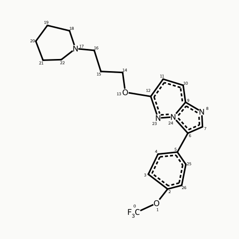 FC(F)(F)Oc1ccc(-c2cnc3ccc(OCCCN4CCCCC4)nn23)cc1